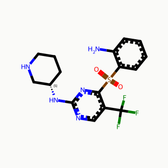 Nc1ccccc1S(=O)(=O)c1nc(N[C@H]2CCCNC2)ncc1C(F)(F)F